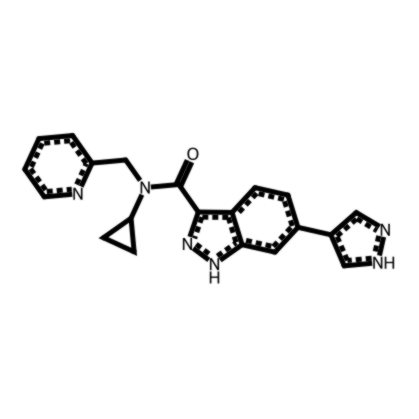 O=C(c1n[nH]c2cc(-c3cn[nH]c3)ccc12)N(Cc1ccccn1)C1CC1